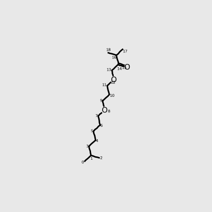 CC(C)CCCCCOCCCOCC(=O)C(C)C